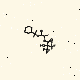 CC(OC(=O)C(O)(C(F)(F)F)C(F)(F)F)C(=O)OC(C)(C)C1CCCCC1